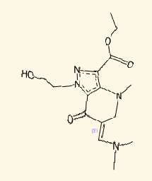 CCOC(=O)c1nn(CCO)c2c1N(C)C/C(=C\N(C)C)C2=O